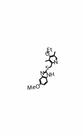 CCOc1c(C)cnc(CSc2nc3cc(OC)ccc3[nH]2)c1C